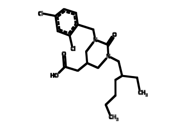 CCCCC(CC)CN1CC(CC(=O)O)CN(Cc2ccc(Cl)cc2Cl)C1=O